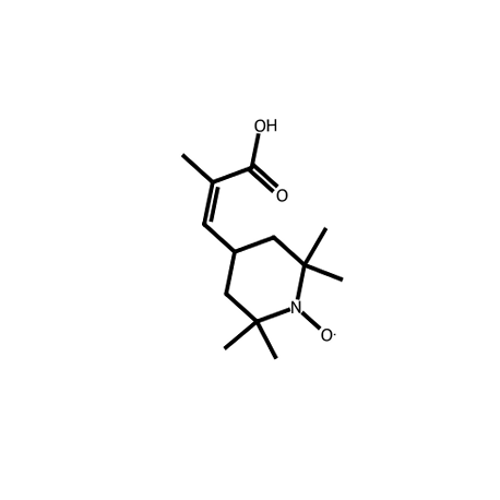 CC(=CC1CC(C)(C)N([O])C(C)(C)C1)C(=O)O